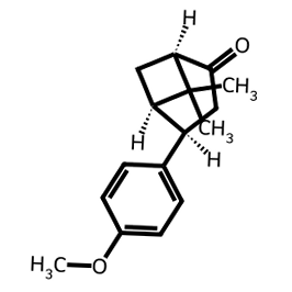 COc1ccc([C@@H]2CC(=O)[C@@H]3C[C@H]2C3(C)C)cc1